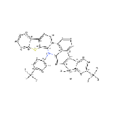 CC(C)(C)c1ccc(N(c2cc3c(c4ccccc24)-c2ccc(C(C)(C)C)cc2C3(C)C)c2cccc3c2sc2ccccc23)cc1